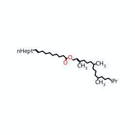 CCCCCCC/C=C/CCCCCCCC(=O)OC/C=C(\C)CCCC(C)CCCC(C)CCCC(C)C